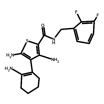 NC1=C(c2c(N)sc(C(=O)NCc3cccc(F)c3F)c2N)CCCC1